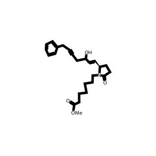 COC(=O)CCCCCCN1C(=O)CC[C@@H]1/C=C/C(O)CC#CCc1ccccc1